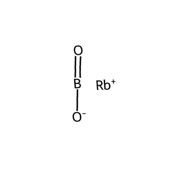 O=B[O-].[Rb+]